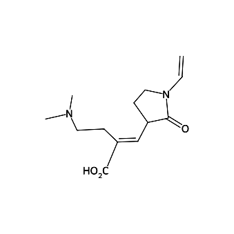 C=CN1CCC(C=C(CCN(C)C)C(=O)O)C1=O